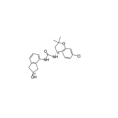 CC1(C)C[C@@H](NC(=O)Nc2cccc3c2C[C@@H](O)C3)c2ccc(Cl)cc2O1